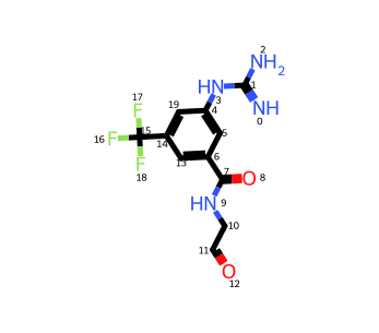 N=C(N)Nc1cc(C(=O)N[CH]C=O)cc(C(F)(F)F)c1